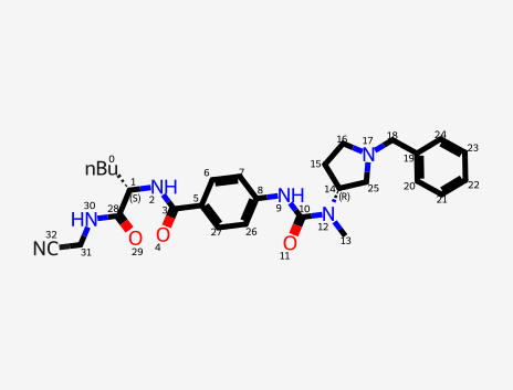 CCCC[C@H](NC(=O)c1ccc(NC(=O)N(C)[C@@H]2CCN(Cc3ccccc3)C2)cc1)C(=O)NCC#N